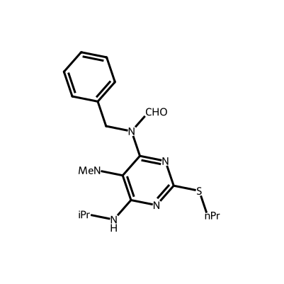 CCCSc1nc(NC(C)C)c(NC)c(N(C=O)Cc2ccccc2)n1